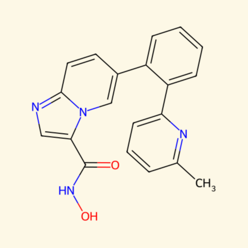 Cc1cccc(-c2ccccc2-c2ccc3ncc(C(=O)NO)n3c2)n1